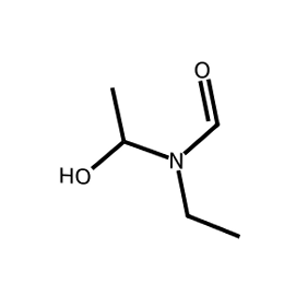 CCN(C=O)C(C)O